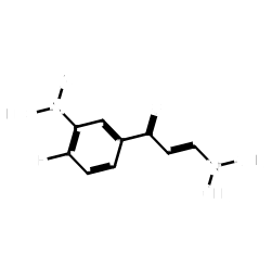 CC(=O)N(C)c1cc(C(=O)C=CN(C)C)ccc1F